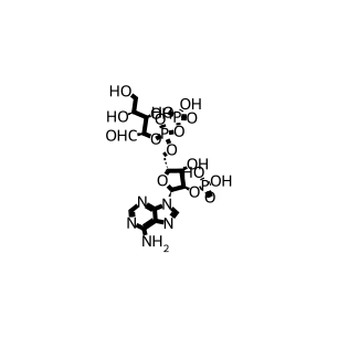 Nc1ncnc2c1ncn2[C@@H]1O[C@H](COP(=O)(O[C@@H](C=O)[C@H](O)[C@H](O)CO)OP(=O)(O)O)[C@@H](O)[C@H]1OP(=O)(O)O